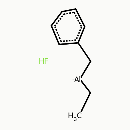 C[CH2][Al][CH2]c1ccccc1.F